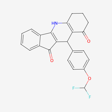 O=C1CCCC2=C1C(c1ccc(OC(F)F)cc1)C1=C(N2)c2ccccc2C1=O